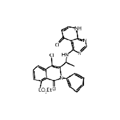 CCOC(=O)c1cccc2c(Cl)c(C(C)Nc3ncnc4[nH]ccc(=O)c34)n(-c3ccccc3)c(=O)c12